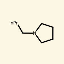 [CH2]CCCN1CCCC1